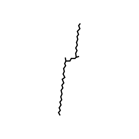 CCCCCCCCCCCCCCCCCCCCC(C)CCCC(C)CCCCCCCCCCCC